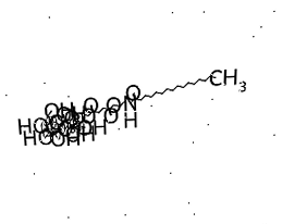 CCCCCCCCCCCCCCCC(=O)NCCOC(=O)CCC(=O)OC[C@H]1O[C@@](CO)(O[C@H]2O[C@H](CO)[C@@H](O)[C@H](O)[C@H]2O)[C@@H](O)[C@@H]1O